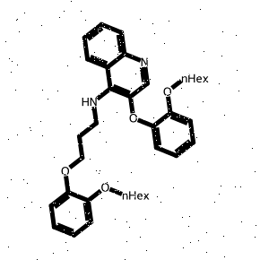 CCCCCCOc1ccccc1OCCCNc1c(Oc2ccccc2OCCCCCC)cnc2ccccc12